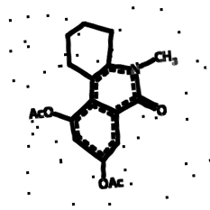 CC(=O)Oc1cc(OC(C)=O)c2c3c(n(C)c(=O)c2c1)CCCC3